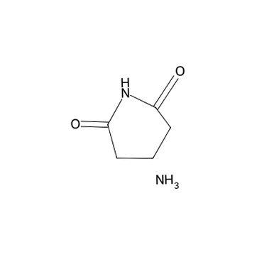 N.O=C1CCCC(=O)N1